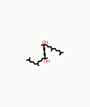 C=C(C)CCC/C(C)=C/CCC(C)(O)C#CC#CC(C)(O)CC/C=C(\C)CCC=C(C)C